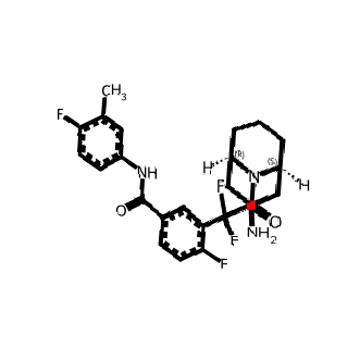 Cc1cc(NC(=O)c2ccc(F)c(C(F)(F)C(=O)N3[C@@H]4CCC[C@H]3CC(N)C4)c2)ccc1F